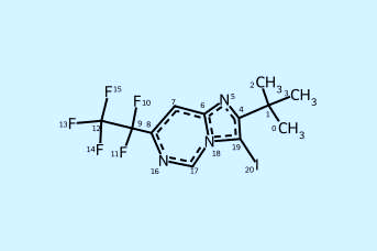 CC(C)(C)c1nc2cc(C(F)(F)C(F)(F)F)ncn2c1I